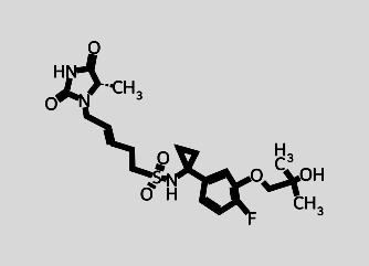 C[C@H]1C(=O)NC(=O)N1C/C=C/CCS(=O)(=O)NC1(c2ccc(F)c(OCC(C)(C)O)c2)CC1